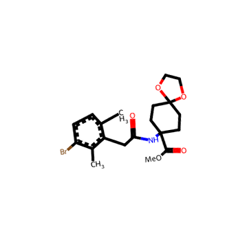 COC(=O)C1(NC(=O)Cc2c(C)ccc(Br)c2C)CCC2(CC1)OCCO2